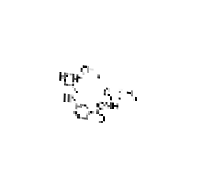 CCC(=O)NOC(=O)c1cccc(NCc2cncn2CC)c1